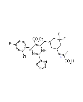 CCOC(=O)C1=C(CN2CC(/C=C(\C)C(=O)O)CC(F)(F)C2)NC(c2nccs2)=N[C@H]1c1ccc(F)cc1Cl